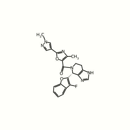 Cc1nc(-c2cnn(C)c2)oc1C(=O)N1CCc2[nH]cnc2[C@@H]1c1oc2ccccc2c1F